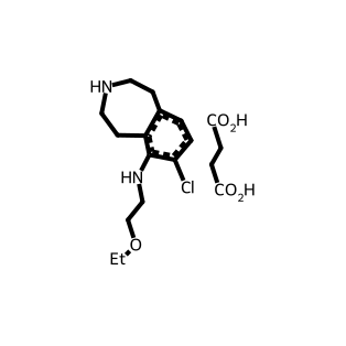 CCOCCNc1c(Cl)ccc2c1CCNCC2.O=C(O)CCC(=O)O